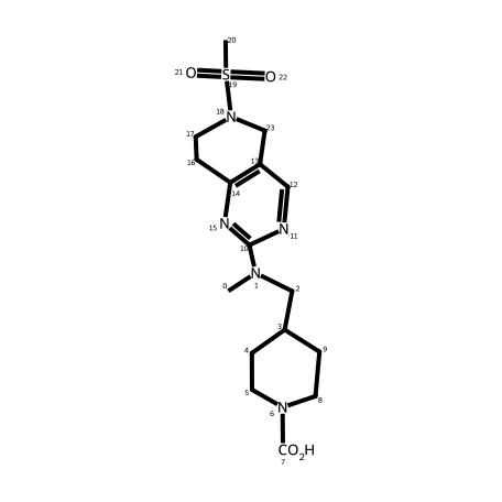 CN(CC1CCN(C(=O)O)CC1)c1ncc2c(n1)CCN(S(C)(=O)=O)C2